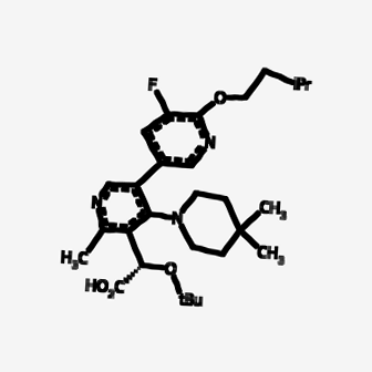 Cc1ncc(-c2cnc(OCCC(C)C)c(F)c2)c(N2CCC(C)(C)CC2)c1[C@H](OC(C)(C)C)C(=O)O